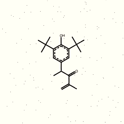 C=C(C)C(=O)C(C)c1cc(C(C)(C)C)c(O)c(C(C)(C)C)c1